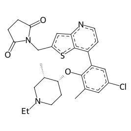 CCN1CC[C@@H](Oc2c(C)cc(Cl)cc2-c2ccnc3cc(CN4C(=O)CCC4=O)sc23)[C@@H](C)C1